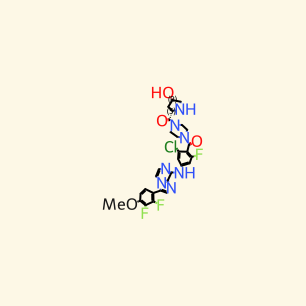 COc1ccc(-c2cnc3c(Nc4cc(F)c(C(=O)N5CCN(C(=O)[C@@H]6C[C@@H](O)CN6)CC5)c(Cl)c4)nccn23)c(F)c1F